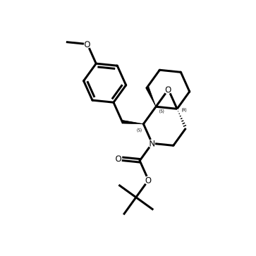 COc1ccc(C[C@@H]2N(C(=O)OC(C)(C)C)CC[C@]34CCCC[C@]23O4)cc1